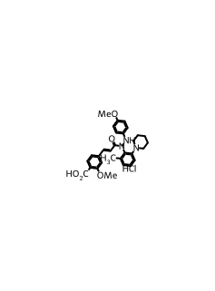 COc1ccc(NN(C(=O)/C=C/c2ccc(C(=O)O)c(OC)c2)c2c(C)cccc2N2CCCCC2)cc1.Cl